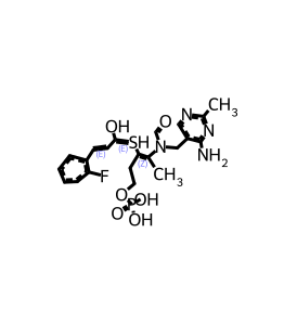 C/C(=C(CCOP(=O)(O)O)/[SH]=C(O)\C=C\c1ccccc1F)N(C=O)Cc1cnc(C)nc1N